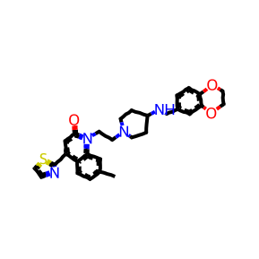 Cc1ccc2c(-c3nccs3)cc(=O)n(CCN3CCC(NCc4ccc5c(c4)OCCO5)CC3)c2c1